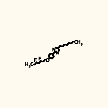 CCCCCCCCc1cnc(-c2ccc(OCCC(F)CC(F)CC)cc2)nc1